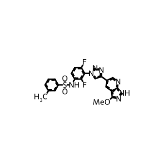 COc1n[nH]c2ncc(-c3cn(-c4c(F)ccc(NS(=O)(=O)c5cccc(C)c5)c4F)nn3)cc12